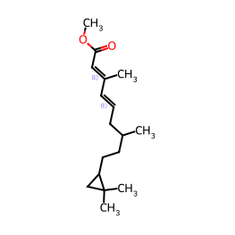 COC(=O)/C=C(C)/C=C/CC(C)CCC1CC1(C)C